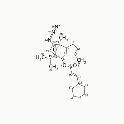 CC1CCC2C1C(OC(=O)/C=C/C1CCCCC1)C1(C(C)C)CC(N=[N+]=[N-])C2(C)O1